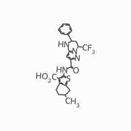 CC1CCc2c(sc(NC(=O)c3cc4n(n3)C(C(F)(F)F)CC(c3ccccc3)N4)c2C(=O)O)C1